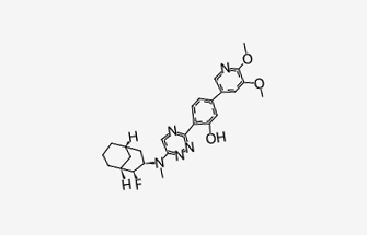 COc1cc(-c2ccc(-c3ncc(N(C)[C@@H]4C[C@H]5CCC[C@H](C5)[C@@H]4F)nn3)c(O)c2)cnc1OC